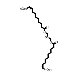 CCCCCCCC/C=C\CCCCCCCC(=O)O[CH2][Sn][CH2]OC(=O)CCCCCCC/C=C\CCCCCCCC